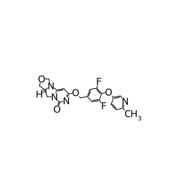 Cc1ccc(Oc2c(F)cc(COc3cc4n(c(=O)n3)C[C@H]3COCN43)cc2F)cn1